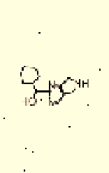 OC(c1ncc2c(n1)CNC2)C1CCCCC1